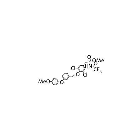 COC(=O)[C@H](Cc1cc(Cl)c(OCCc2cccc(Oc3ccc(OC)cc3)c2)c(Cl)c1)NC(=O)C(F)(F)F